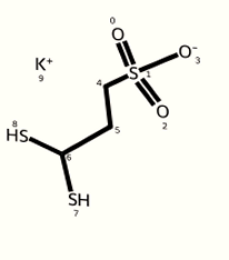 O=S(=O)([O-])CCC(S)S.[K+]